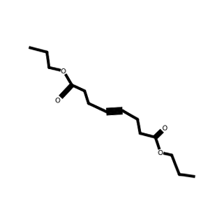 CCCOC(=O)CCC#CCCC(=O)OCCC